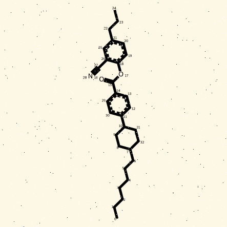 CCCCCCCC1CCC(c2ccc(C(=O)Oc3ccc(CCC)cc3C#N)cc2)CC1